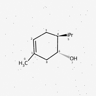 CC1=CC[C@@H](C(C)C)[C@H](O)C1